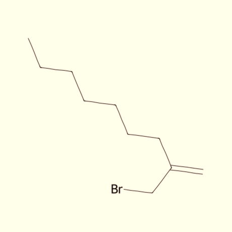 C=C(CBr)CCCCCCC